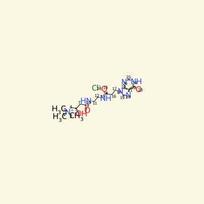 C[N+](C)(C)CC(O)CC(=O)NCCNC(=O)CCn1cnc2c(=O)[nH]cnc21.[Cl-]